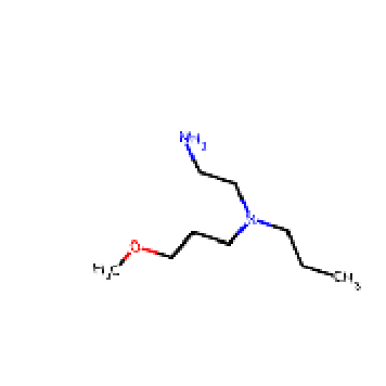 CCCN(CCN)CCCOC